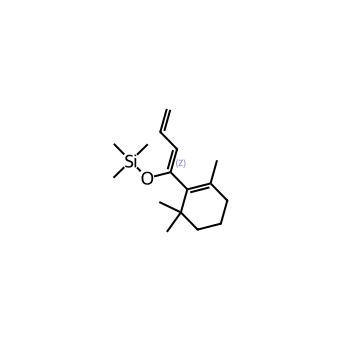 C=C/C=C(\O[Si](C)(C)C)C1=C(C)CCCC1(C)C